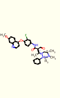 COc1ccc2c(Oc3ccc(NC(=O)/C(C=O)=C(\C)N(C[C@H](C)N(C)C)Nc4ccccc4)cc3F)ccnc2c1